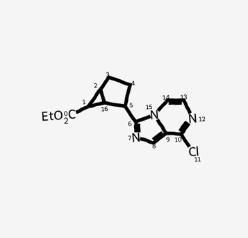 CCOC(=O)C1C2CCC(c3ncc4c(Cl)nccn34)C21